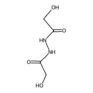 O=C(CO)NNC(=O)CO